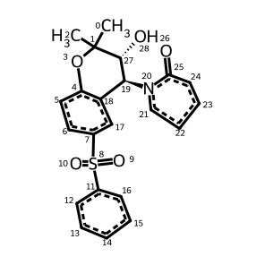 CC1(C)Oc2ccc(S(=O)(=O)c3ccccc3)cc2[C@H](n2ccccc2=O)[C@H]1O